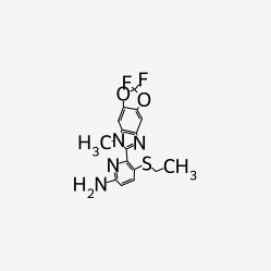 CCSc1ccc(N)nc1-c1nc2cc3c(cc2n1C)OC(F)(F)O3